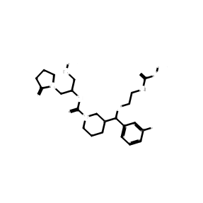 CNCC(CN1CCCC1=O)NC(=O)N1CCCC(C(OCCNC(=O)OC)c2cccc(Cl)c2)C1